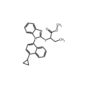 CCC(Sc1nc2ccccc2n1-c1ccc(C2CC2)c2ccccc12)C(=O)OC